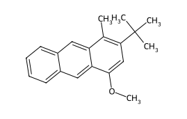 COc1cc(C(C)(C)C)c(C)c2cc3ccccc3cc12